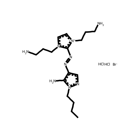 CCCCn1ncc(/N=N/c2n(CCCN)cc[n+]2CCCN)c1N.Cl.Cl.[Br-]